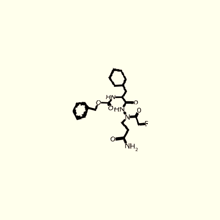 NC(=O)CCN(NC(=O)C(CC1CCCCC1)NC(=O)OCc1ccccc1)C(=O)CF